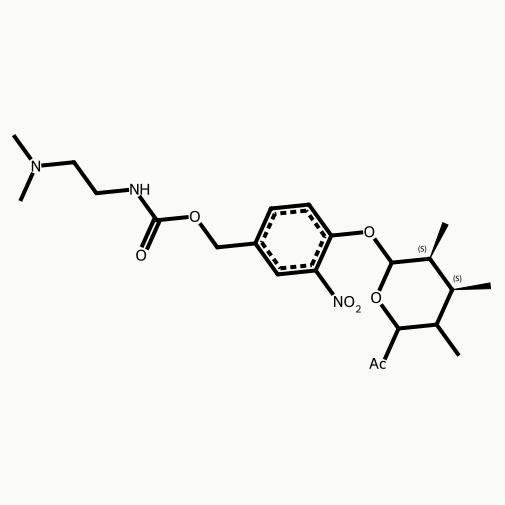 CC(=O)C1OC(Oc2ccc(COC(=O)NCCN(C)C)cc2[N+](=O)[O-])[C@@H](C)[C@@H](C)C1C